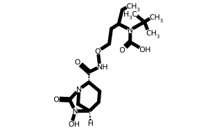 CCC(CCONC(=O)[C@@H]1CC[C@@H]2CN1C(=O)N2O)N(C(=O)O)C(C)(C)C